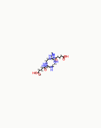 C=NC[C@@]1(NC(=O)CCCC(=O)O)CNCCNC[C@](C)(NC(=O)CCCC(=O)O)NCCN1